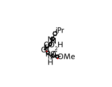 COc1ccc(CC(=O)Nc2ccc(C(=O)N(CC(=O)O)Cc3ccc(-c4ncc(C5=CCC(C(C)C)CC5)cn4)cc3)cc2)c(C(F)(F)F)c1